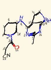 Cc1nc(NC2CCCN(C(=O)CC#N)C2)c2cc[nH]c2n1